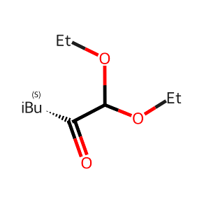 CCOC(OCC)C(=O)[C@@H](C)CC